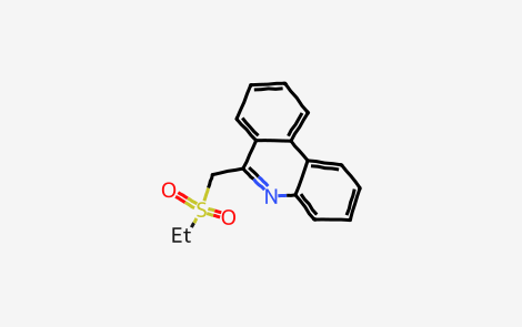 CCS(=O)(=O)Cc1nc2ccccc2c2ccccc12